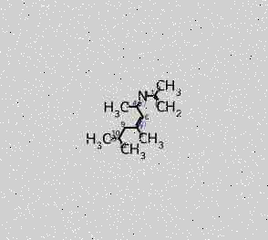 C=C(C)/N=C(C)\C=C(\C)CC(C)C